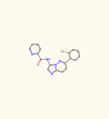 O=C(Nc1cnc2ccc(-c3ccccc3Cl)nn12)c1ccccn1